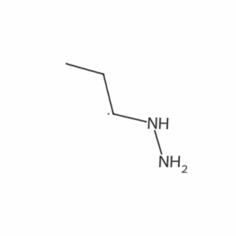 CC[CH]NN